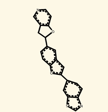 c1cc2c(cn1)CC(c1ccc3oc(-c4ccc5ncsc5c4)cc3c1)O2